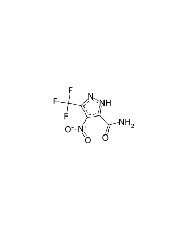 NC(=O)c1[nH]nc(C(F)(F)F)c1[N+](=O)[O-]